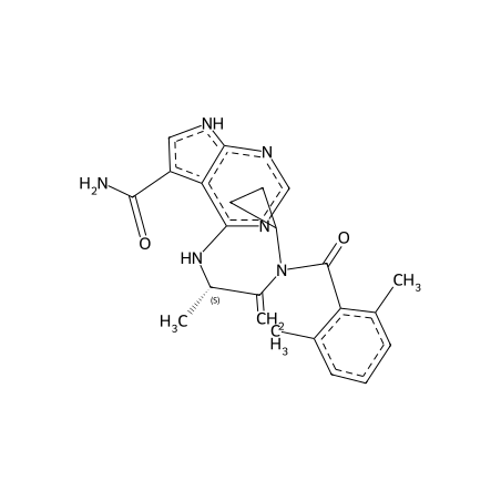 C=C([C@H](C)Nc1ncnc2[nH]cc(C(N)=O)c12)N(C(=O)c1c(C)cccc1C)C1CC1